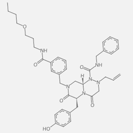 C=CCN1CC(=O)N2[C@@H](Cc3ccc(O)cc3)C(=O)N(Cc3cccc(C(=O)NCCCOCCCC)c3)C[C@@H]2N1C(=O)NCc1ccccc1